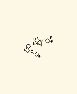 O=C(NCc1ccc2nccc(OCC3CCNC3)c2c1)c1cncn(Cc2ccc(F)c(F)c2)c1=O